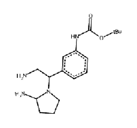 CC(C)(C)OC(=O)Nc1cccc(C(CN)N2CCCC2N)c1